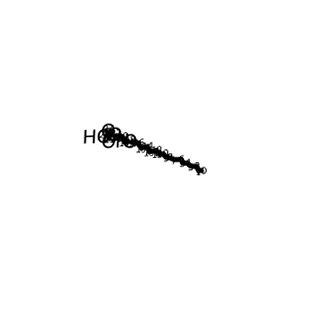 CCCCCCCCCCCCCCCCCCOCCCOP(=O)(O)O